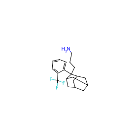 NCCCC1(c2ccccc2C(F)(F)F)C2CC3CC(C2)CC1C3